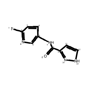 O=C(Nc1ccc(F)nc1)c1cc[nH]n1